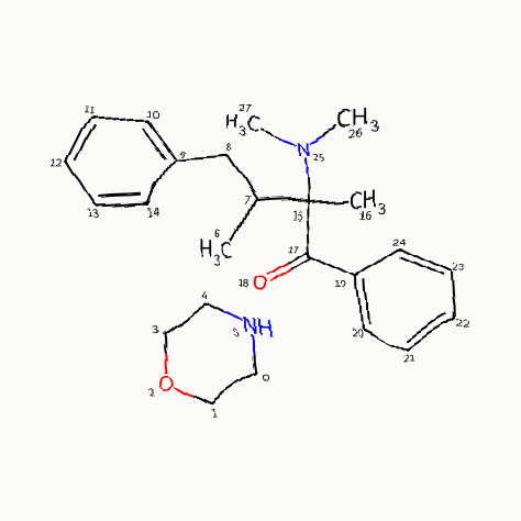 C1COCCN1.CC(Cc1ccccc1)C(C)(C(=O)c1ccccc1)N(C)C